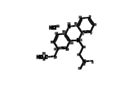 CN(C)CCN1c2ccccc2Sc2ccc(CC(=O)O)cc21.Cl